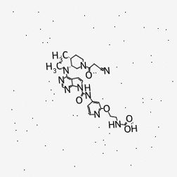 C[C@@H]1CCN(C(=O)CC#N)C[C@@H]1N(C)c1ncnc2c1ccn2C(=O)Nc1ccnc(OCCNC(=O)O)c1